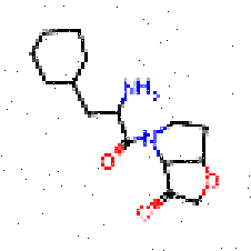 NC(CC1CCCCC1)C(=O)N1CCC2OCC(=O)C21